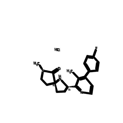 Cc1c(-c2ccc(F)cc2)ccnc1[C@@H]1CC[C@]2(CCN(C)C2=O)N1.Cl